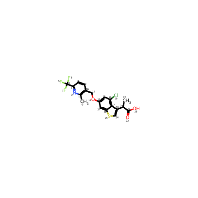 Cc1nc(C(F)(F)F)ccc1COc1cc(Cl)c2c(C(C)C(=O)O)csc2c1